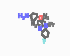 CC(C)n1c(C(C)(C)Oc2ccc(N)cc2)nc2cc(F)ccc21